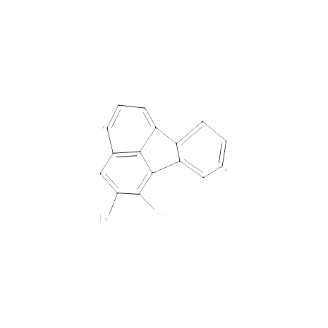 Brc1cc2cccc3c2c(c1Br)-c1ccccc1-3